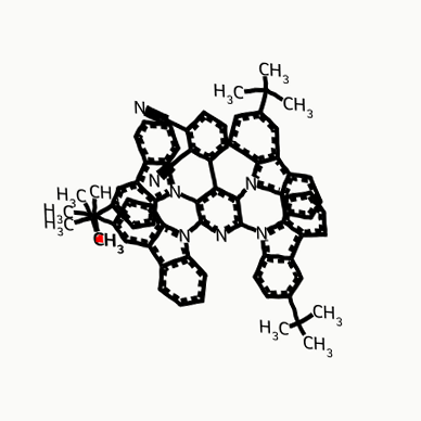 CC(C)(C)c1ccc2c(c1)c1ccccc1n2-c1nc(-n2c3ccccc3c3cc(C(C)(C)C)ccc32)c(-n2c3ccccc3c3cc(C(C)(C)C)ccc32)c(-c2cccc(C#N)c2C#N)c1-n1c2ccccc2c2cc(C(C)(C)C)ccc21